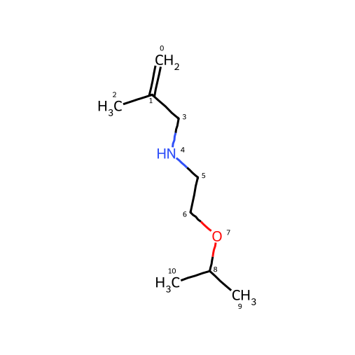 C=C(C)CNCCOC(C)C